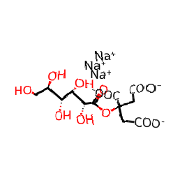 O=C([O-])CC(CC(=O)[O-])(OC(=O)[C@H](O)[C@@H](O)[C@H](O)[C@H](O)CO)C(=O)[O-].[Na+].[Na+].[Na+]